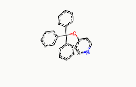 [c]1cc(OC(c2ccccc2)(c2ccccc2)c2ccccc2)ccn1